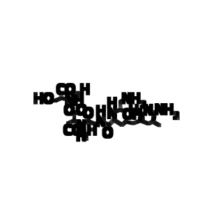 CC(CCCCCC(NC(O)CN)C(=O)NCC(=O)NC(CC(=O)O)C(=O)ONC(CO)C(=O)O)=C(N)N